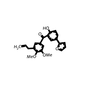 C=CCc1cc(C(=O)c2cc(-c3ccco3)ccc2O)cc(OC)c1OC